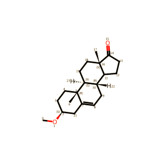 CO[C@H]1CC[C@@]2(C)C(=CC[C@H]3C4CCC(=O)[C@@]4(C)CC[C@@H]32)C1